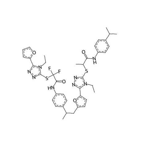 CCn1c(SC(C)C(=O)Nc2ccc(C(C)C)cc2)nnc1-c1ccc(CC(C)c2ccc(NC(=O)C(F)(F)Sc3nnc(-c4ccco4)n3CC)cc2)o1